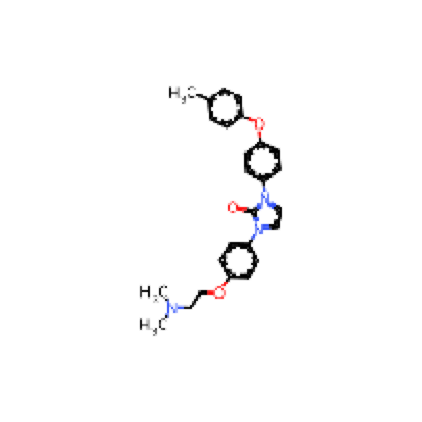 Cc1ccc(Oc2ccc(-n3ccn(-c4ccc(OCCN(C)C)cc4)c3=O)cc2)cc1